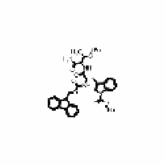 C[C@@H](OC(C)(C)C)[C@@H](NC(=O)[C@H](Cc1cn(C(=O)OC(C)(C)C)c2ccccc12)NC(=O)OCC1c2ccccc2-c2ccccc21)C(N)=O